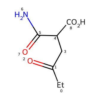 CCC(=O)CC(C(N)=O)C(=O)O